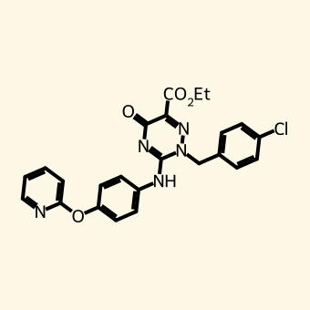 CCOC(=O)c1nn(Cc2ccc(Cl)cc2)c(Nc2ccc(Oc3ccccn3)cc2)nc1=O